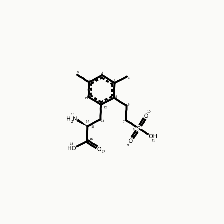 Cc1cc(C)c(CCS(=O)(=O)O)c(C[C@H](N)C(=O)O)c1